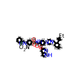 CCC12CC(C3=C(CN4CCN(c5ccc(C(=O)NS(=O)(=O)c6ccc(NCC7(F)CCCCC7)c([N+](=O)[O-])c6)c(Oc6cnc7[nH]ccc7c6)c5)CC4)CCC(C)(C)C3)(C1)C2